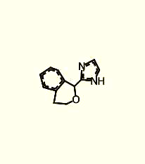 c1ccc2c(c1)CCOC2c1ncc[nH]1